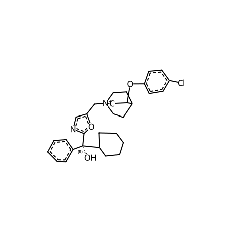 O[C@](c1ccccc1)(c1ncc(C[N+]23CCC(CC2)C(Oc2ccc(Cl)cc2)C3)o1)C1CCCCC1